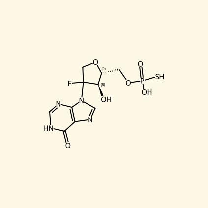 O=c1[nH]cnc2c1ncn2C1(F)CO[C@H](COP(=O)(O)S)[C@H]1O